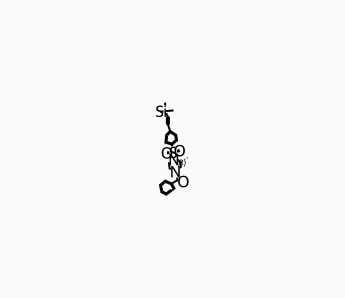 C[C@@H]1CN(C(=O)c2ccccc2)CCN1S(=O)(=O)c1ccc(C#C[Si](C)(C)C)cc1